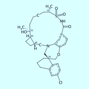 C[C@H]1CCCC[C@](C)(O)[C@@H]2CC[C@H]2CN2C[C@@]3(CCCc4cc(Cl)ccc43)COc3ccc(cc32)C(=O)NS1(=O)=O